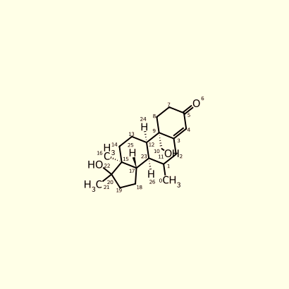 CC1CC2=CC(=O)CC[C@]2(CO)[C@@H]2CC[C@@]3(C)[C@@H](CCC3(C)O)[C@H]12